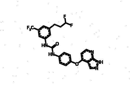 O=C(Nc1ccc(Oc2ccnc3[nH]ncc23)cc1)Nc1cc(CCC(F)F)cc(C(F)(F)F)c1